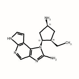 CC[C@@H]1C[C@H](N)C[C@@H]1n1c(N)nc2cnc3[nH]ccc3c21